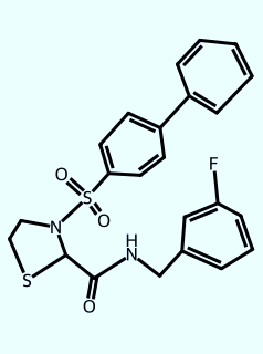 O=C(NCc1cccc(F)c1)C1SCCN1S(=O)(=O)c1ccc(-c2ccccc2)cc1